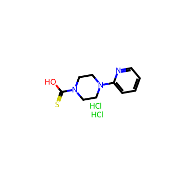 Cl.Cl.OC(=S)N1CCN(c2ccccn2)CC1